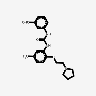 O=Cc1cccc(NC(=O)Nc2cc(C(F)(F)F)ccc2OCCN2CCCC2)c1